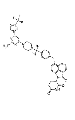 [2H]C([2H])(c1ccc(Cc2ccc3c4c(cccc24)C(=O)N3C2CCC(=O)NC2=O)cc1)N1CCN(c2cc(-n3cnc(C(F)(F)F)c3)nc(C)n2)CC1